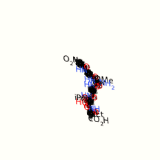 CCOc1cc(C(=O)O)ccc1NC(=O)c1ccc(NC(=O)c2ccc(NC(=O)C(NC(=O)c3ccc(NC(=O)c4ccc([N+](=O)[O-])cc4)cc3)C(OC)C(N)=O)cc2)c(OC(C)C)c1O